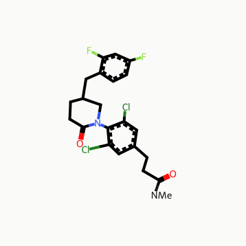 CNC(=O)CCc1cc(Cl)c(N2CC(Cc3ccc(F)cc3F)CCC2=O)c(Cl)c1